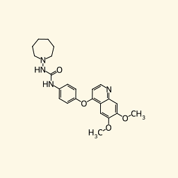 COc1cc2nccc(Oc3ccc(NC(=O)NN4CCCCCC4)cc3)c2cc1OC